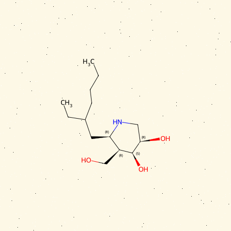 CCCCC(CC)C[C@H]1NC[C@@H](O)[C@@H](O)[C@H]1CO